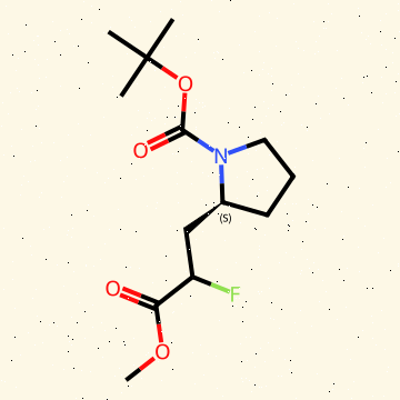 COC(=O)C(F)C[C@@H]1CCCN1C(=O)OC(C)(C)C